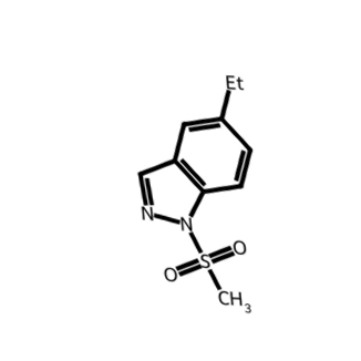 CCc1ccc2c(cnn2S(C)(=O)=O)c1